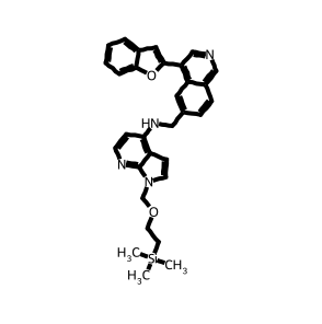 C[Si](C)(C)CCOCn1ccc2c(NCc3ccc4cncc(-c5cc6ccccc6o5)c4c3)ccnc21